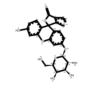 O=C1OC2(c3ccc(O)cc3Oc3cc(O[C@@H]4O[C@H](CO)[C@H](O)[C@H](O)[C@H]4O)ccc32)c2ccccc21